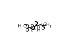 COC(=O)c1ccc(C(=O)NCC(C)=O)o1